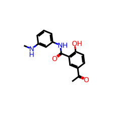 CNc1cccc(NC(=O)c2cc(C(C)=O)ccc2O)c1